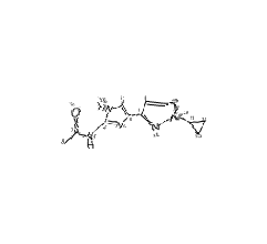 CC(=O)Nc1nc(-c2ccn(C3CC3)n2)c[nH]1